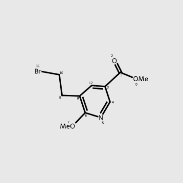 COC(=O)c1cnc(OC)c(CCBr)c1